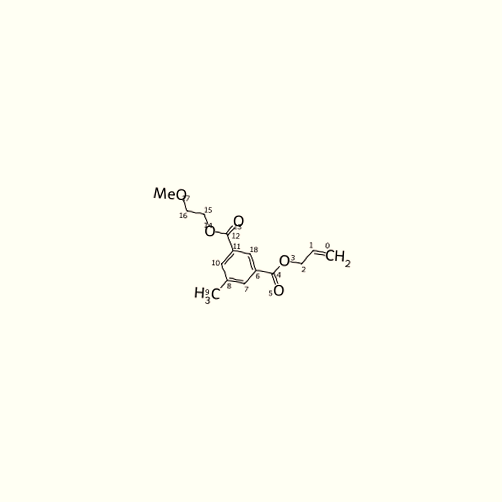 C=CCOC(=O)c1cc(C)cc(C(=O)OCCOC)c1